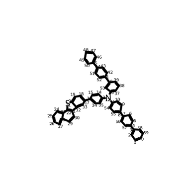 c1ccc(-c2ccc(-c3ccc(N(c4ccc(-c5ccc6sc7c8ccccc8ccc7c6c5)cc4)c4cccc(-c5ccc(-c6ccccc6)cc5)c4)cc3)cc2)cc1